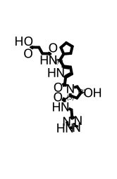 O=C(O)CCC(=O)N[C@@H](c1ccc(C(=O)N2C[C@H](O)C[C@H]2C(=O)NCc2nn[nH]n2)[nH]1)C1CCCC1